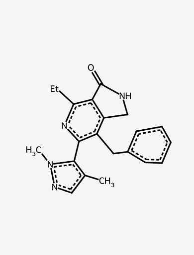 CCc1nc(-c2c(C)cnn2C)c(Cc2ccccc2)c2c1C(=O)NC2